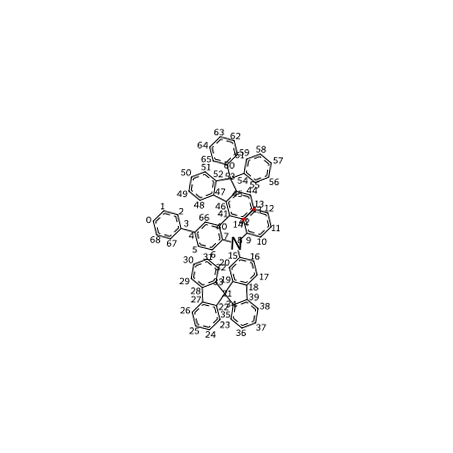 c1ccc(-c2ccc(N(c3ccccc3)c3ccc4c(c3)C3(c5ccccc5-c5ccccc53)c3ccccc3-4)c(-c3cccc4c3-c3ccccc3C4(c3ccccc3)c3ccccc3)c2)cc1